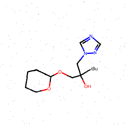 CC(C)(C)C(O)(COC1CCCCO1)Cn1cncn1